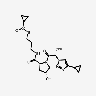 CC(C)(C)[C@@H](C(=O)N1C[C@H](O)C[C@H]1C(=O)NCCCN[S+]([O-])C1CC1)n1cc(C2CC2)nn1